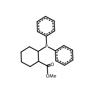 COC(=O)C1CCCCC1P(c1ccccc1)c1ccccc1